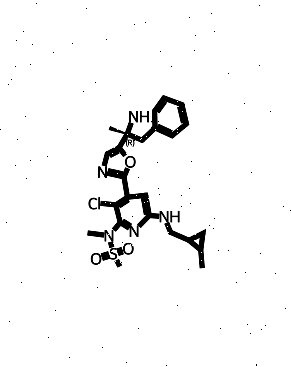 CC1CC1CNc1cc(-c2ncc([C@](C)(N)Cc3ccccc3)o2)c(Cl)c(N(C)S(C)(=O)=O)n1